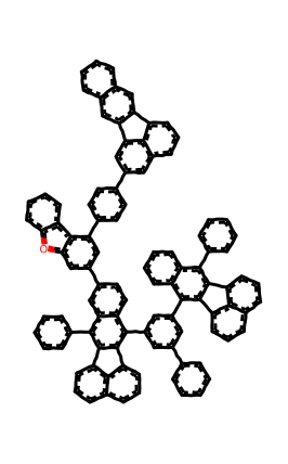 c1ccc(-c2cc(-c3c4c(c(-c5ccccc5)c5ccccc35)-c3cccc5cccc-4c35)cc(-c3c4c(c(-c5ccccc5)c5cc(-c6cc(-c7ccc(-c8cc9c%10c(cccc%10c8)-c8cc%10ccccc%10cc8-9)cc7)c7c(c6)oc6ccccc67)ccc35)-c3cccc5cccc-4c35)c2)cc1